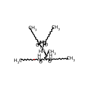 CCCCCCCCCCCCCNC(=O)CCN(CCC(=O)NCCCCCCCCCCCC)CCN(CCC)CCNCCN(CCC(=O)NCCCCCCCCCCCC)CCC(=O)NCCCCCCCCCCCC